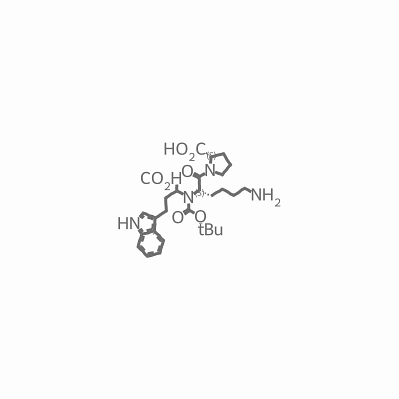 CC(C)(C)OC(=O)N(C(CCc1c[nH]c2ccccc12)C(=O)O)[C@@H](CCCCN)C(=O)N1CCC[C@H]1C(=O)O